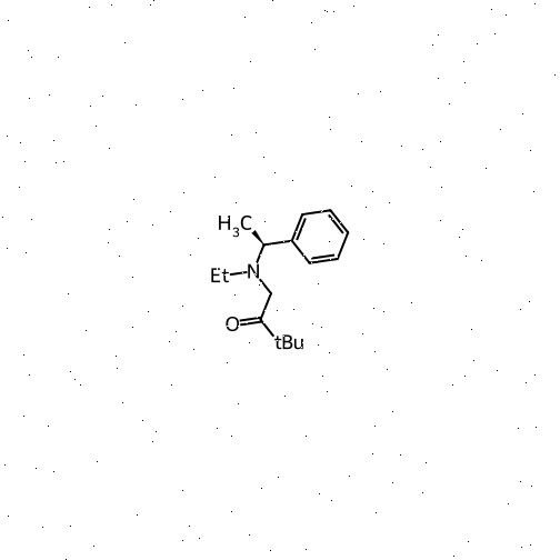 CCN(CC(=O)C(C)(C)C)[C@@H](C)c1ccccc1